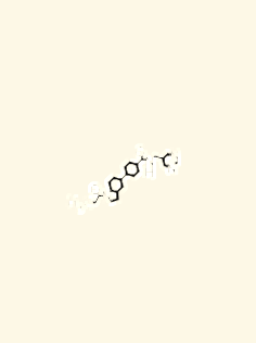 CCC(=O)n1ccc2cc(-c3ccc(C(=O)NCc4cncnc4)cc3)ccc21